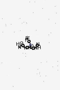 Cc1cc(Nc2ccc(CN(C(=O)/C=C/c3ccc(C(F)(F)F)cc3)C3CCN(Cc4ccc(O)c(CN(C)C)c4)CC3)cc2)ccn1